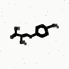 C/C(=C\Sc1ccc(C)cc1)C(=O)O